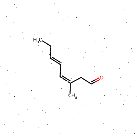 CCC=CC=C(C)C[C]=O